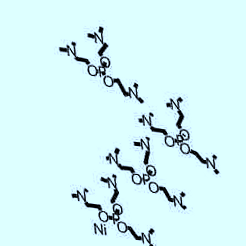 CN(C)CCOP(OCCN(C)C)OCCN(C)C.CN(C)CCOP(OCCN(C)C)OCCN(C)C.CN(C)CCOP(OCCN(C)C)OCCN(C)C.CN(C)CCOP(OCCN(C)C)OCCN(C)C.[Ni]